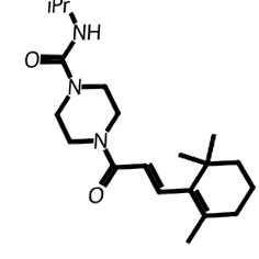 CC1=C(C=CC(=O)N2CCN(C(=O)NC(C)C)CC2)C(C)(C)CCC1